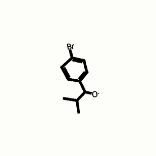 CC(C)C([O])c1ccc(Br)cc1